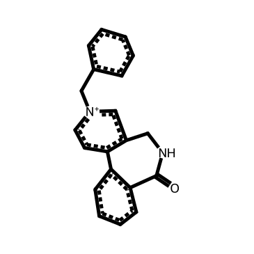 O=C1NCc2c[n+](Cc3ccccc3)ccc2-c2ccccc21